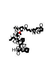 CC[C@H](C)[C@@H]([C@@H](CC(=O)N1CCCC1[C@H](OC)[C@@H](C)C(=O)NC(Cc1ccccc1)C(=O)O)OC)N(C)C(=O)C(N=C(N(C)C)N1CCN(C(=O)CCCn2cc(CN3C(=O)C=CC3=O)nn2)CC1)C(C)C